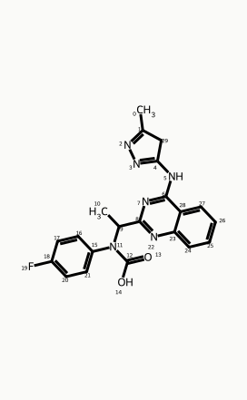 CC1=NN=C(Nc2nc(C(C)N(C(=O)O)c3ccc(F)cc3)nc3ccccc23)C1